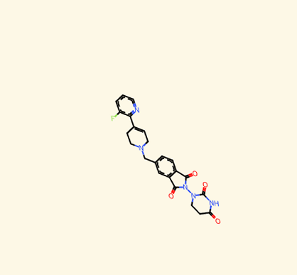 O=C1CCN(N2C(=O)c3ccc(CN4CC=C(c5ncccc5F)CC4)cc3C2=O)C(=O)N1